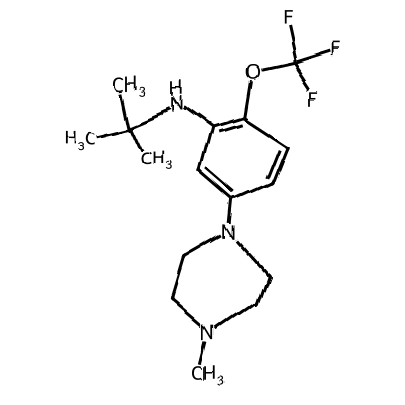 CN1CCN(c2ccc(OC(F)(F)F)c(NC(C)(C)C)c2)CC1